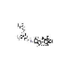 CCCCCOC(C)CCC/C=C/c1ccc2cc(-c3ccc(O)c(F)c3F)ccc2c1